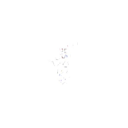 CSCC[C@@](NC(=O)c1ccc(C=C(Cn2ccnc2)c2nccs2)cc1-c1ccc(F)cc1)(C(=O)O)C(C)(C)C